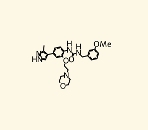 COc1cccc(CNC(=O)Nc2ccc(-c3c[nH]nc3C)cc2OCCN2CCOCC2)c1